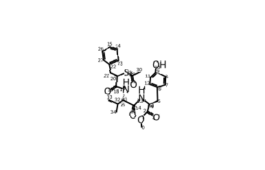 COC(=O)[C@H](Cc1ccc(O)cc1)NC(=O)[C@@H](NC(=O)C(Cc1ccccc1)SC(C)=O)C(C)C